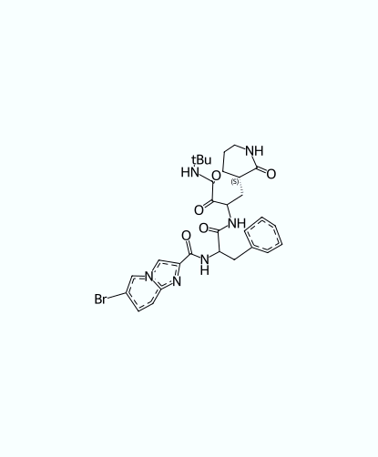 CC(C)(C)NC(=O)C(=O)C(C[C@@H]1CCCNC1=O)NC(=O)C(Cc1ccccc1)NC(=O)c1cn2cc(Br)ccc2n1